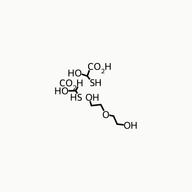 O=C(O)C(O)S.O=C(O)C(O)S.OCCOCCO